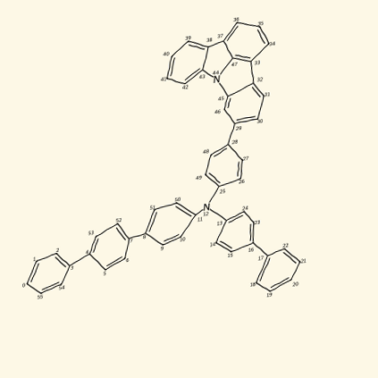 c1ccc(-c2ccc(-c3ccc(N(c4ccc(-c5ccccc5)cc4)c4ccc(-c5ccc6c7cccc8c9ccccc9n(c6c5)c87)cc4)cc3)cc2)cc1